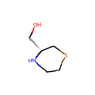 OC[C@@H]1CSCCN1